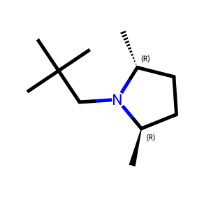 C[C@@H]1CC[C@@H](C)N1CC(C)(C)C